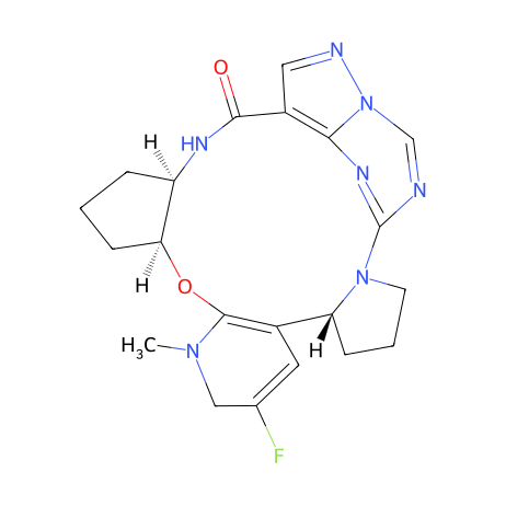 CN1CC(F)=CC2=C1O[C@H]1CCC[C@H]1NC(=O)c1cnn3cnc(nc13)N1CCC[C@H]21